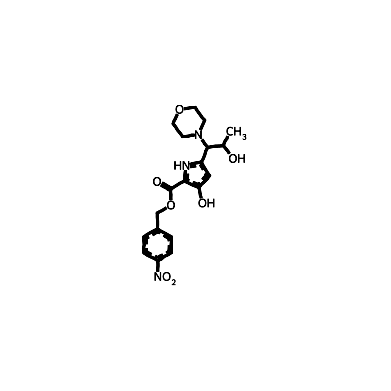 CC(O)C(c1cc(O)c(C(=O)OCc2ccc([N+](=O)[O-])cc2)[nH]1)N1CCOCC1